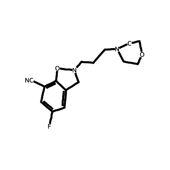 N#Cc1cc(F)cc2c1ON(CCCN1CCOCC1)C2